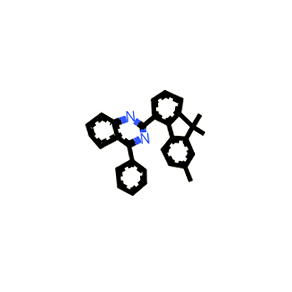 Cc1ccc2c(c1)C(C)(C)c1cccc(-c3nc(-c4ccccc4)c4ccccc4n3)c1-2